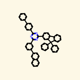 c1ccc(-c2ccc(-c3nc(-c4cccc(-c5ccc6ccccc6c5)c4)nc(-c4ccc5c(c4)C(c4ccccc4)(c4ccccc4)c4ccccc4-5)n3)cc2)cc1